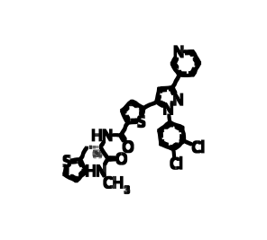 CNC(=O)[C@H](Cc1cccs1)NC(=O)c1ccc(-c2cc(-c3cccnc3)nn2-c2ccc(Cl)c(Cl)c2)s1